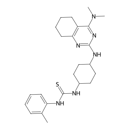 Cc1ccccc1NC(=S)NC1CCC(Nc2nc3c(c(N(C)C)n2)CCCC3)CC1